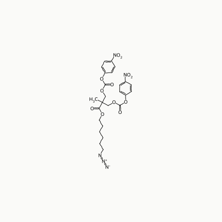 CC(COC(=O)Oc1ccc([N+](=O)[O-])cc1)(COC(=O)Oc1ccc([N+](=O)[O-])cc1)C(=O)OCCCCCCN=[N+]=[N-]